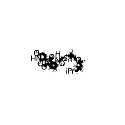 CC(C)CC(C)(C)CC(C)(C)OCCC(C)(C)CSCC(=O)Nc1cccc2c1C(=O)N(C1CCC(=O)NC1=O)C2=O